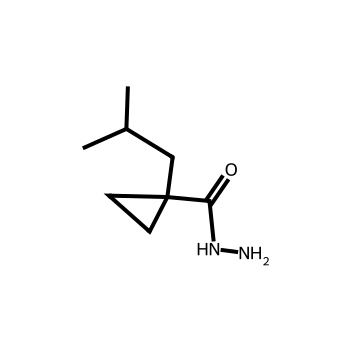 CC(C)CC1(C(=O)NN)CC1